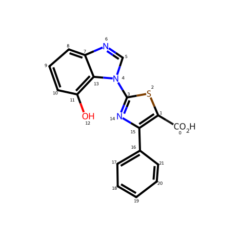 O=C(O)c1sc(-n2cnc3cccc(O)c32)nc1-c1ccccc1